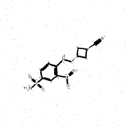 N#C[C@H]1C[C@H](CNc2ccc(S(N)(=O)=O)cc2[N+](=O)[O-])C1